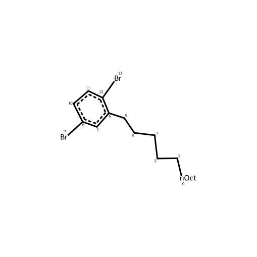 CCCCCCCCCCCCCc1cc(Br)ccc1Br